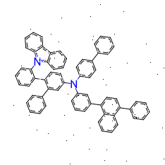 c1ccc(-c2ccc(N(c3cccc(-c4ccc(-c5ccccc5)c5ccccc45)c3)c3ccc(-c4ccccc4-n4c5ccccc5c5ccccc54)c(-c4ccccc4)c3)cc2)cc1